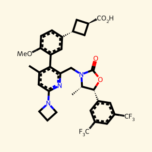 COc1ccc([C@H]2C[C@H](C(=O)O)C2)cc1-c1c(C)cc(N2CCC2)nc1CN1C(=O)O[C@H](c2cc(C(F)(F)F)cc(C(F)(F)F)c2)[C@@H]1C